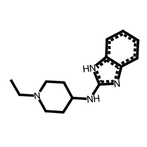 CCN1CCC(Nc2nc3ccccc3[nH]2)CC1